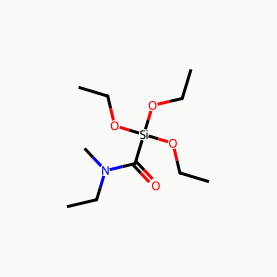 CCO[Si](OCC)(OCC)C(=O)N(C)CC